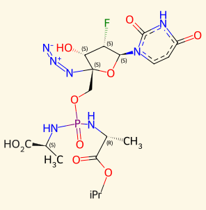 CC(C)OC(=O)[C@@H](C)NP(=O)(N[C@@H](C)C(=O)O)OC[C@]1(N=[N+]=[N-])O[C@H](n2ccc(=O)[nH]c2=O)[C@@H](F)[C@H]1O